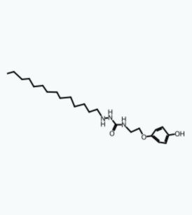 CCCCCCCCCCCCCCNNC(=O)NCCOc1ccc(O)cc1